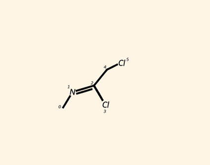 CN=C(Cl)CCl